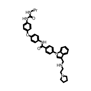 CC(C)NC(=O)Nc1ccc(Oc2ccc(NC(=O)c3ccc(-n4cc(CNCCN5CCCC5)c5ccccc54)cc3)cc2)cc1